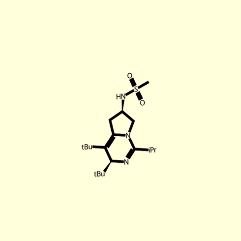 CC(C)C1=N[C@@H](C(C)(C)C)C(C(C)(C)C)=C2C[C@@H](NS(C)(=O)=O)CN12